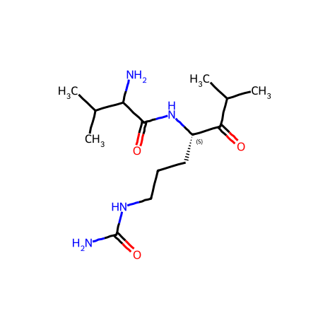 CC(C)C(=O)[C@H](CCCNC(N)=O)NC(=O)C(N)C(C)C